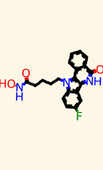 O=C(CCCCn1c2ccc(F)cc2c2[nH]c(=O)c3ccccc3c21)NO